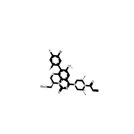 C=CC(=O)N1[C@H](C)CN(c2nc(=O)n3c4c(c(-c5cc(Br)c(F)cc5F)c(C(F)(F)F)cc24)SC[C@@H]3COC)C[C@@H]1C